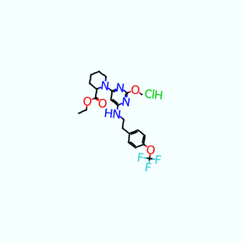 CCOC(=O)C1CCCCN1c1cc(NCCc2ccc(OC(F)(F)F)cc2)nc(OC)n1.Cl